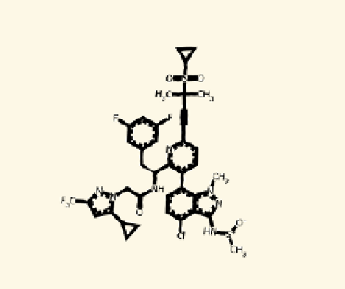 Cn1nc(N[S+](C)[O-])c2c(Cl)ccc(-c3ccc(C#CC(C)(C)S(=O)(=O)C4CC4)nc3[C@H](Cc3cc(F)cc(F)c3)NC(=O)Cn3nc(C(F)(F)F)cc3C3CC3)c21